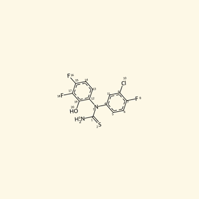 NC(=S)N(c1ccc(F)c(Cl)c1)c1ccc(F)c(F)c1O